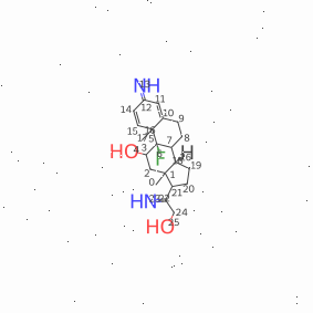 CC12CC(O)[C@@]3(F)C(CCC4=CC(=N)C=CC43C)[C@@H]1CCC2C(=N)CO